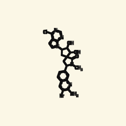 CN1C(=O)C2(CC1c1ccc3cc(Br)c(N)nc3c1)CC(n1ccc3c(Cl)ncnc31)C(O)C2O